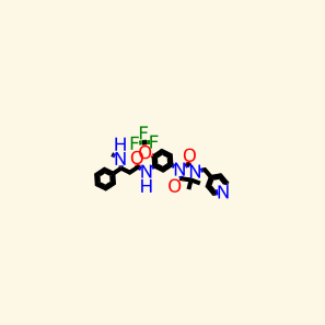 CNC(CC(=O)Nc1cc(N2C(=O)N(Cc3ccncc3)C(C)(C)C2=O)ccc1OC(F)(F)F)c1ccccc1